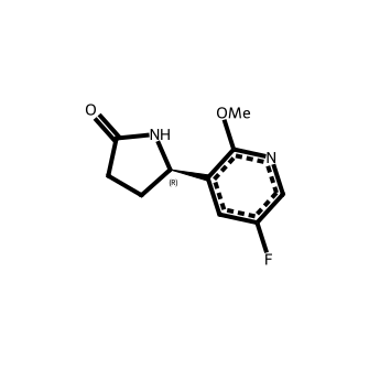 COc1ncc(F)cc1[C@H]1CCC(=O)N1